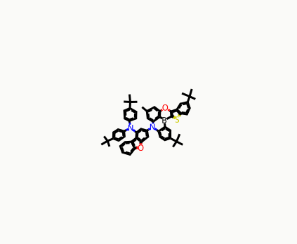 Cc1cc2c3c(c1)N(c1cc(N(c4ccc(C(C)(C)C)cc4)c4ccc(C(C)(C)C)cc4)c4c(c1)oc1ccccc14)c1ccc(C(C)(C)C)cc1B3c1sc3ccc(C(C)(C)C)cc3c1O2